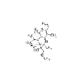 C=CC1=C(C)C2=NC3(C)C(O)(COC)C3(C)C(=C(C)C)C2=C(C)S1